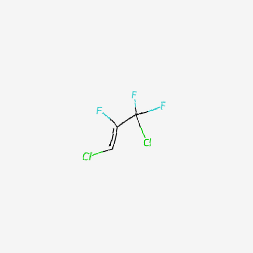 FC(=CCl)C(F)(F)Cl